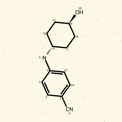 N#Cc1ccc([N][C@H]2CC[C@H](O)CC2)cc1